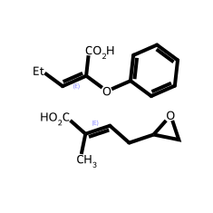 C/C(=C\CC1CO1)C(=O)O.CC/C=C(/Oc1ccccc1)C(=O)O